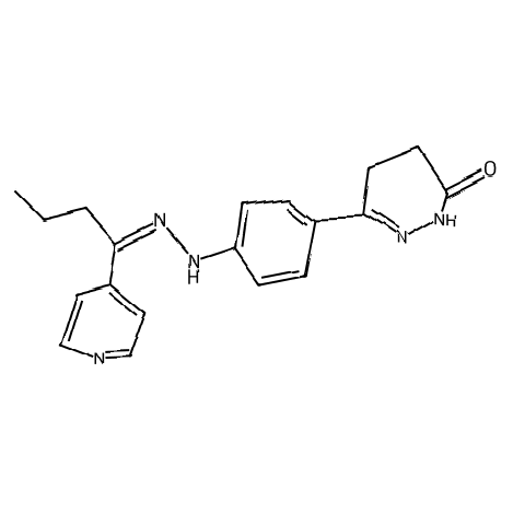 CCCC(=NNc1ccc(C2=NNC(=O)CC2)cc1)c1ccncc1